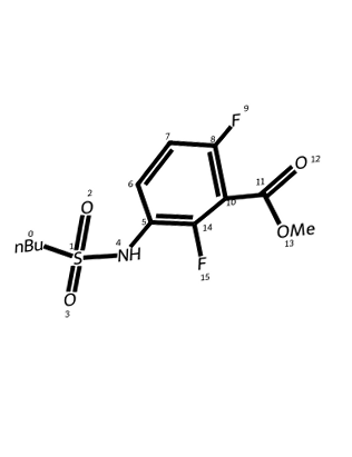 CCCCS(=O)(=O)Nc1ccc(F)c(C(=O)OC)c1F